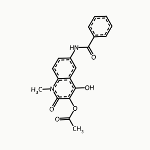 CC(=O)Oc1c(O)c2cc(NC(=O)c3ccccc3)ccc2n(C)c1=O